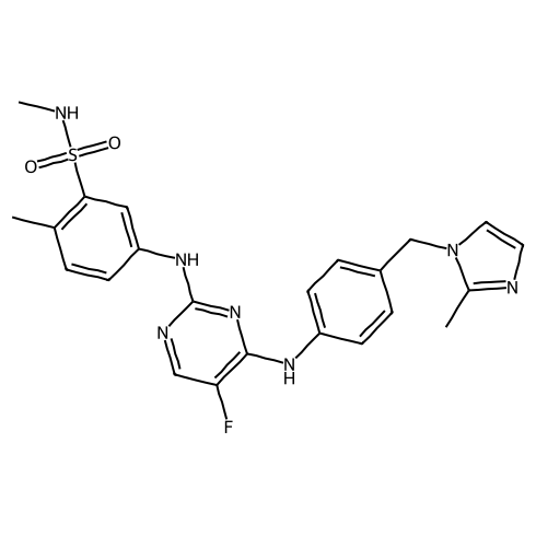 CNS(=O)(=O)c1cc(Nc2ncc(F)c(Nc3ccc(Cn4ccnc4C)cc3)n2)ccc1C